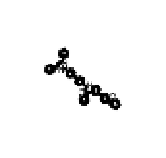 C[C@@]12C=CC=CC1Oc1cc(-c3ccc4nc(-c5ccc(-c6ccc(-c7nc(-c8ccccc8)cc(-c8ccccc8)n7)cc6)cc5)c5oc6ccccc6c5c4c3)ccc12